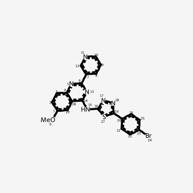 COc1ccc2nc(-c3cccnc3)nc(Nc3nnc(-c4ccc(Br)cc4)s3)c2c1